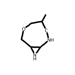 CC1CNC2NC2COC1